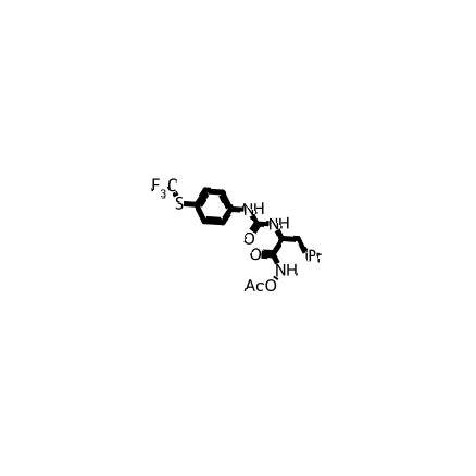 CC(=O)ONC(=O)C(CC(C)C)NC(=O)Nc1ccc(SC(F)(F)F)cc1